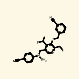 BN(Cc1cnc(CF)c(OCc2cccc(C#N)c2)c1C(C)F)c1ccc(C#N)cc1